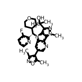 Cc1noc(C)c1-c1cnc2c3c(c(C(C)(C)O)nn3C)n([C@H](c3ncccc3F)C3CCOCC3)c2c1